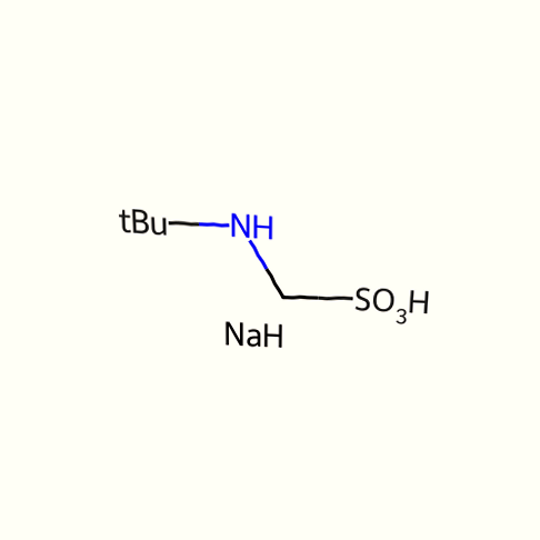 CC(C)(C)NCS(=O)(=O)O.[NaH]